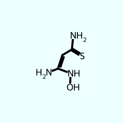 NC(=S)C=C(N)NO